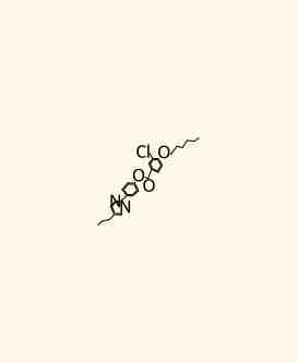 CCCCCCOc1ccc(C(=O)Oc2ccc(-c3ncc(CCC)cn3)cc2)cc1Cl